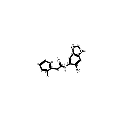 CC(=O)c1cc2c(cc1NC(=O)Cc1ccccc1C)OCO2